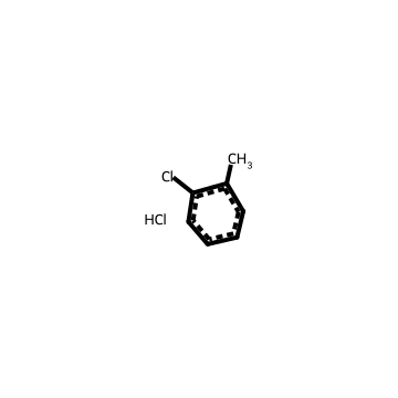 Cc1ccccc1Cl.Cl